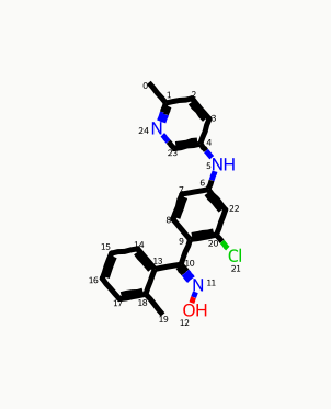 Cc1ccc(Nc2ccc(C(=NO)c3ccccc3C)c(Cl)c2)cn1